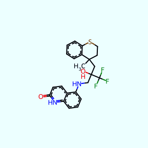 CC1(CC(O)(CNc2cccc3[nH]c(=O)ccc23)C(F)(F)F)CCSc2ccccc21